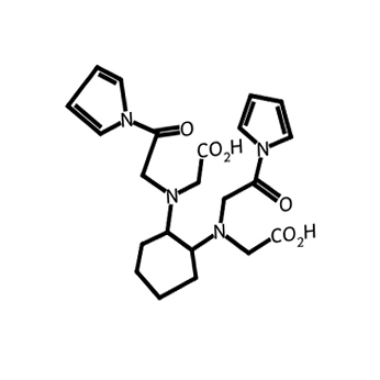 O=C(O)CN(CC(=O)n1cccc1)C1CCCCC1N(CC(=O)O)CC(=O)n1cccc1